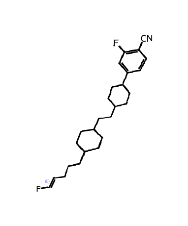 N#Cc1ccc(C2CCC(CCC3CCC(CCC/C=C/F)CC3)CC2)cc1F